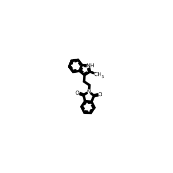 Cc1[nH]c2ccccc2c1CCN1C(=O)c2ccccc2C1=O